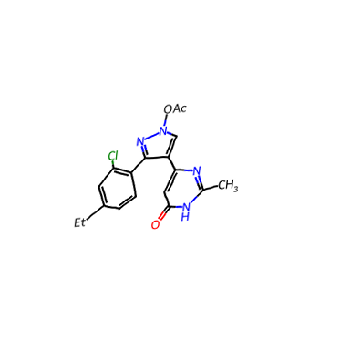 CCc1ccc(-c2nn(OC(C)=O)cc2-c2cc(=O)[nH]c(C)n2)c(Cl)c1